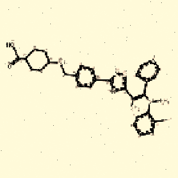 N/C(=C(/c1ccncc1)N(N)c1ccccc1F)c1nc(-c2ccc(CNC3CCC(C(=O)O)CC3)cc2)no1